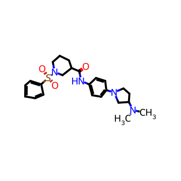 CN(C)C1CCN(c2ccc(NC(=O)C3CCCN(S(=O)(=O)c4ccccc4)C3)cc2)C1